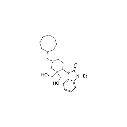 CCn1c(=O)n(C2CCN(CC3CCCCCCC3)CC2(CO)CO)c2ccccc21